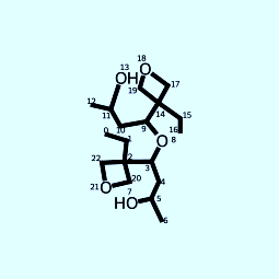 CCC1(C(CC(C)O)OC(CC(C)O)C2(CC)COC2)COC1